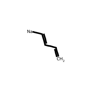 C=C/C=[CH]/[Na]